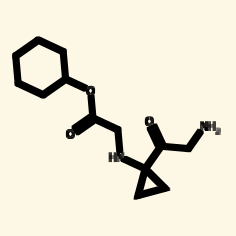 NCC(=O)C1(NCC(=O)OC2CCCCC2)CC1